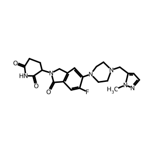 Cn1nccc1CN1CCN(c2cc3c(cc2F)C(=O)N(C2CCC(=O)NC2=O)C3)CC1